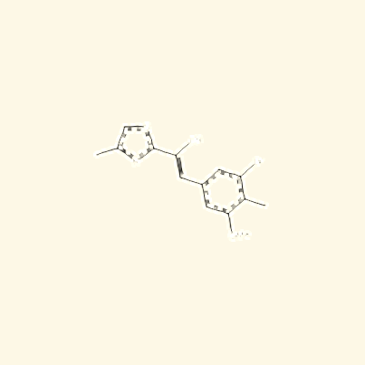 COc1cc(/C=C(\C#N)c2nc(C)cs2)cc(Br)c1C